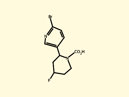 O=C(O)N1CCC(F)CC1c1ccc(Br)nc1